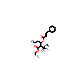 CCCC(OC(=O)C=Cc1ccccc1)C(C(=O)OCC)C(C)(C)C